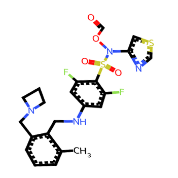 Cc1cccc(CN2CCC2)c1CNc1cc(F)c(S(=O)(=O)N(OC=O)c2cscn2)c(F)c1